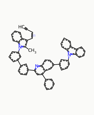 C#C/C=C\c1c(C)n(-c2cccc(-c3cccc(-c4cc(-c5ccccc5)c5cc(-c6cccc(-n7c8ccccc8c8ccccc87)c6)ccc5n4)c3)c2)c2ccccc12